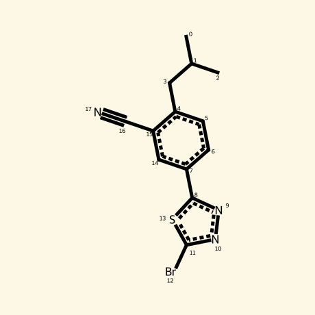 CC(C)Cc1ccc(-c2nnc(Br)s2)cc1C#N